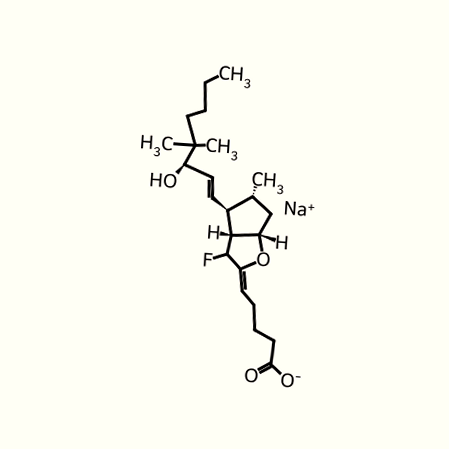 CCCCC(C)(C)[C@H](O)/C=C/[C@@H]1[C@H]2C(F)/C(=C/CCCC(=O)[O-])O[C@H]2C[C@H]1C.[Na+]